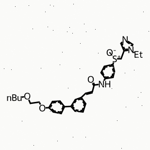 CCCCOCCOc1ccc(-c2cccc(/C=C/C(=O)Nc3ccc([S@@+]([O-])Cc4cncn4CC)cc3)c2)cc1